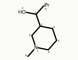 CC(C)C(O)C1CCCN(C)C1